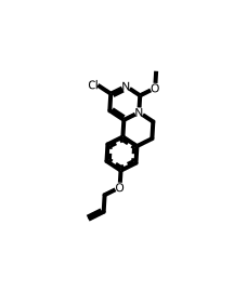 C=CCOc1ccc2c(c1)CCN1C2=CC(Cl)=NC1OC